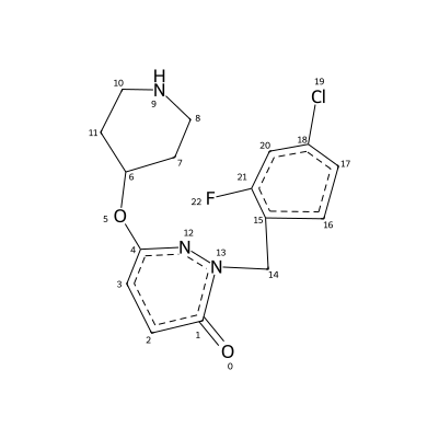 O=c1ccc(OC2CCNCC2)nn1Cc1ccc(Cl)cc1F